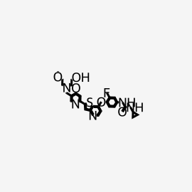 COCCN(Cc1ccc(-c2cc3nccc(Oc4ccc(NC(=O)NC5CC5)cc4F)c3s2)nc1)C(=O)CO